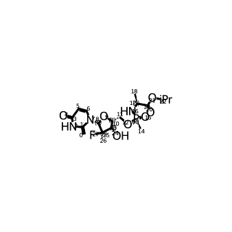 C=C1NC(=O)C=CN1[C@@H]1O[C@H](CO[P@@](C)(=O)N[C@@H](C)C(=O)OC(C)C)[C@@H](O)[C@@]1(C)F